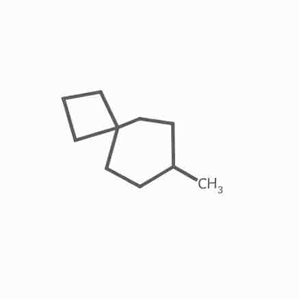 CC1CCC2(CCC2)CC1